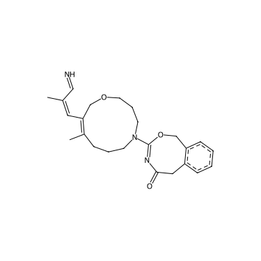 C/C(C=N)=C/C1=C(\C)CCCN(/C2=N/C(=O)Cc3ccccc3CO2)CCCOC1